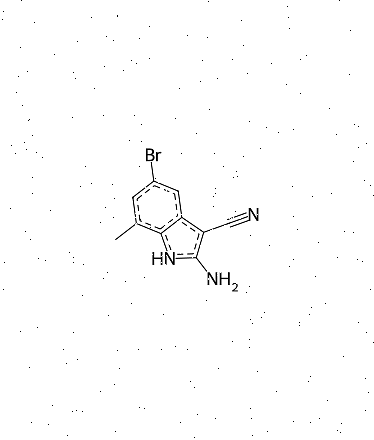 Cc1cc(Br)cc2c(C#N)c(N)[nH]c12